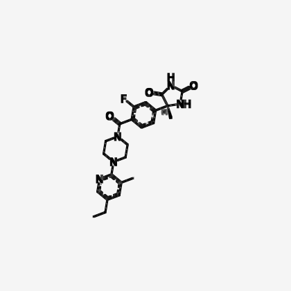 CCc1cnc(N2CCN(C(=O)c3ccc([C@@]4(C)NC(=O)NC4=O)cc3F)CC2)c(C)c1